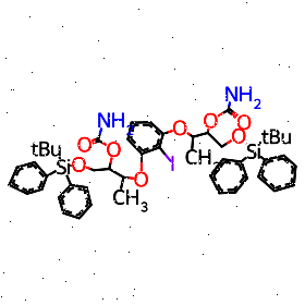 CC(Oc1cccc(OC(C)C(CO[Si](c2ccccc2)(c2ccccc2)C(C)(C)C)OC(N)=O)c1I)C(CO[Si](c1ccccc1)(c1ccccc1)C(C)(C)C)OC(N)=O